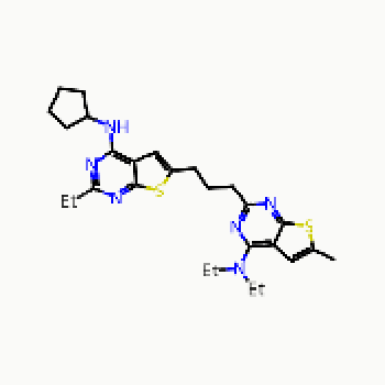 CCc1nc(NC2CCCC2)c2cc(CCCc3nc(N(CC)CC)c4cc(C)sc4n3)sc2n1